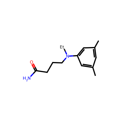 CCN(CCCC(N)=O)c1cc(C)cc(C)c1